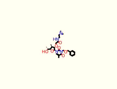 Cc1cn([C@@H]2O[C@H]([C@@H](C)O)[C@@H](C)[C@H]2OCC(=O)NCCN(C)C)c(=O)n(COCc2ccccc2)c1=O